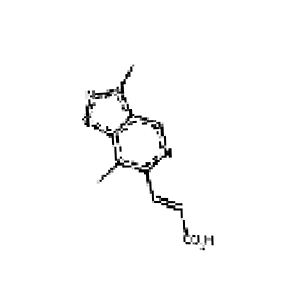 Cc1c(/C=C/C(=O)O)ncc2c1nnn2C